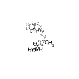 CC(CCCN1CCc2ccccc2C1)CCC(=O)NO